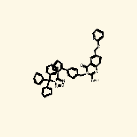 CCCCc1nc2ccc(COc3ccccn3)cc2c(=O)n1Cc1ccc(-c2ccccc2-c2nnnn2C(c2ccccc2)(c2ccccc2)c2ccccc2)cc1